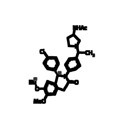 CC[C@@H](C)Oc1cc2c(cc1OC)CC(=O)N(c1ccc(C(C)N3CCC(NC(C)=O)C3)cc1)[C@H]2c1ccc(Cl)cc1